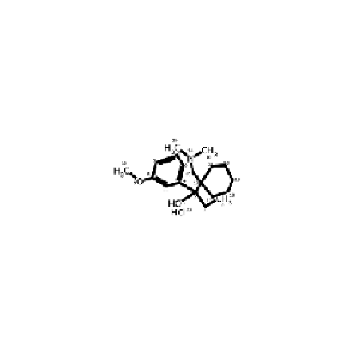 CCC(O)(c1cccc(OC)c1)C1(CN(C)C)CCCCC1.Cl